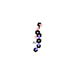 CC(=O)c1cc(-n2ccc3cc(OC[C@H]4CCCO4)ccc3c2=O)ccc1N1CC[C@@H](N2CCCC2)C1